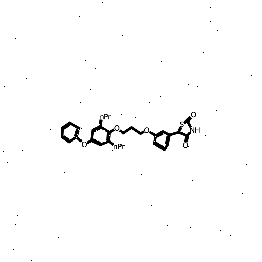 CCCc1cc(Oc2ccccc2)cc(CCC)c1OCCCOc1cccc(C2SC(=O)NC2=O)c1